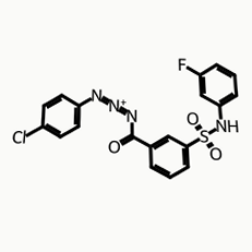 O=C(N=[N+]=Nc1ccc(Cl)cc1)c1cccc(S(=O)(=O)Nc2cccc(F)c2)c1